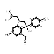 CN(C)CCCC(N=O)(c1ccc(P)cc1)c1ccc(C#N)cc1CO